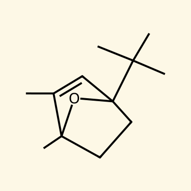 CC1=CC2(C(C)(C)C)CCC1(C)O2